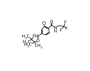 CC1(C)OB(c2ccc(C(=O)NCC(F)(F)F)c(Cl)c2)OC1(C)C